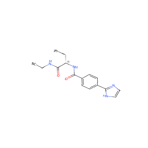 CC(C)C[C@H](NC(=O)c1ccc(-c2ncc[nH]2)cc1)C(=O)NCC#N